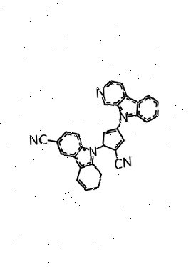 N#CC1=CC(n2c3ccccc3c3ccncc32)=CC1n1c2c(c3cc(C#N)ccc31)C=CCC2